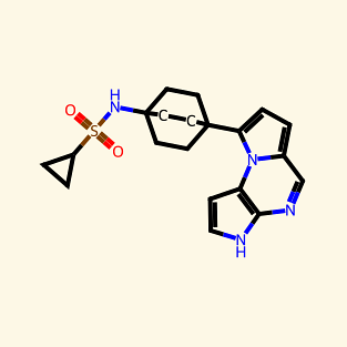 O=S(=O)(NC12CCC(c3ccc4cnc5[nH]ccc5n34)(CC1)CC2)C1CC1